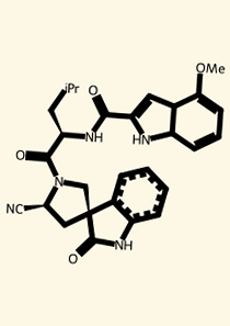 COC1=CC=CC2NC(C(=O)N[C@H](CC(C)C)C(=O)N3C[C@]4(C[C@H]3C#N)C(=O)Nc3ccccc34)=CC12